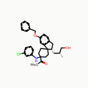 COC(=O)C1(Nc2cccc(Cl)c2)CCC2(CC1)c1cc(OCc3ccccc3)ccc1C[C@@H]2C[C@@H](C)CO